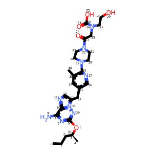 CCC[C@H](C)Oc1nc(N)c2ncc(Cc3cnc(N4CCN(C(=O)CN(CCO)C(=O)O)CC4)c(C)c3)n2n1